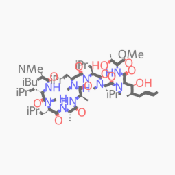 C/C=C/C[C@@H](C)[C@@H](O)[C@@H](C(=O)N[C@H](C(=O)OC)[C@@H](C)O)N(C)C(=O)[C@H](C(C)C)N(C)C(=O)[C@H](CC(C)C)NC(=O)[C@H](CC(C)C)N(C)C(=O)[C@@H](C)NC(=O)[C@H](C)NC(=O)[C@H](CC(C)C)N(C)C(=O)[C@H](CC(C)C)NC(=O)[C@@H](NC)C(C)CC